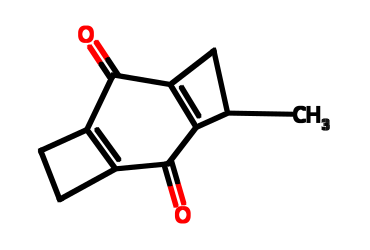 CC1CC2=C1C(=O)C1=C(CC1)C2=O